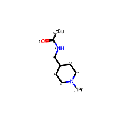 CC(C)N1CCC(CNC(=O)C(C)(C)C)CC1